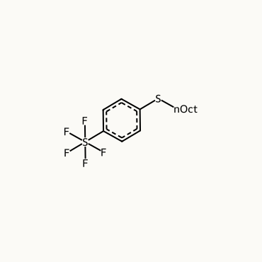 CCCCCCCCSc1ccc(S(F)(F)(F)(F)F)cc1